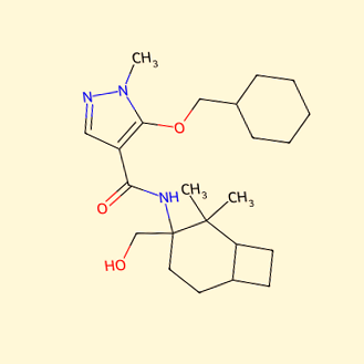 Cn1ncc(C(=O)NC2(CO)CCC3CCC3C2(C)C)c1OCC1CCCCC1